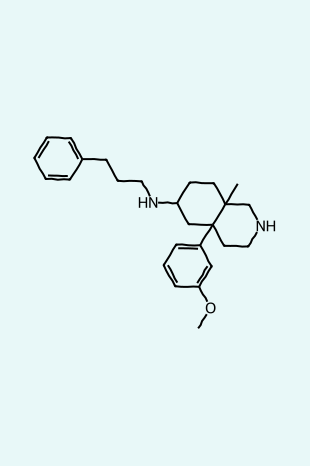 COc1cccc(C23CCNCC2(C)CCC(NCCCc2ccccc2)C3)c1